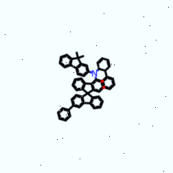 CC1(C)c2ccccc2-c2ccc(N(c3cccc4c3-c3ccccc3C43c4ccccc4-c4cc(-c5ccccc5)ccc43)C3C=CC=CC3c3ccccc3)cc21